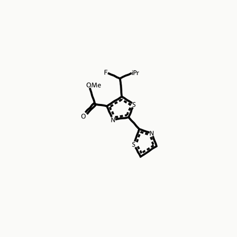 COC(=O)c1nc(-c2nccs2)sc1C(F)C(C)C